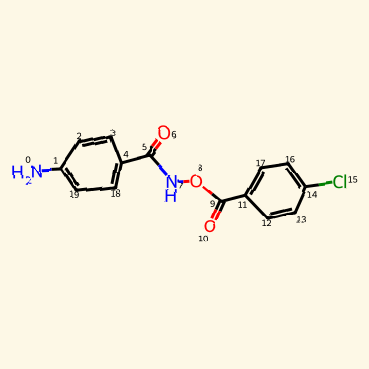 Nc1ccc(C(=O)NOC(=O)c2ccc(Cl)cc2)cc1